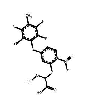 COC(Oc1cc(Oc2c(F)c(F)c(C)c(F)c2Cl)ccc1[N+](=O)[O-])C(=O)O